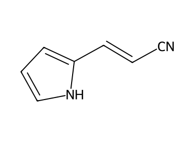 N#CC=Cc1ccc[nH]1